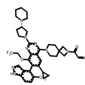 C=CC(=O)N1CC2(CCN(c3nc(N4CC[C@H](N5CCCCC5)C4)nc4c(OCC(F)(F)F)c(-c5c(C)ccc6[nH]ncc56)c(C5CC5)cc34)CC2)C1